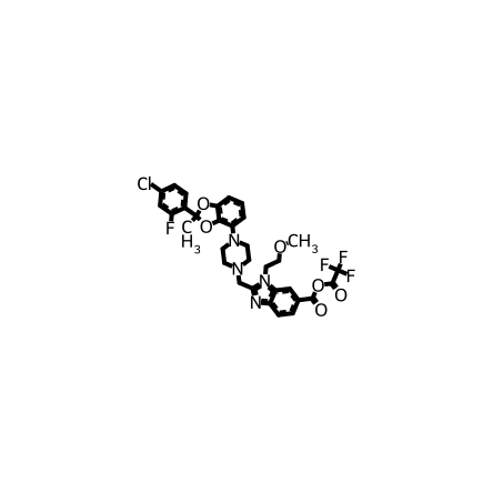 COCCn1c(CN2CCN(c3cccc4c3OC(C)(c3ccc(Cl)cc3F)O4)CC2)nc2ccc(C(=O)OC(=O)C(F)(F)F)cc21